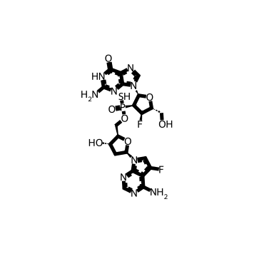 Nc1nc2c(ncn2[C@@H]2O[C@H](CO)[C@@H](F)[C@H]2P(=O)(S)OC[C@H]2O[C@@H](n3cc(F)c4c(N)ncnc43)C[C@@H]2O)c(=O)[nH]1